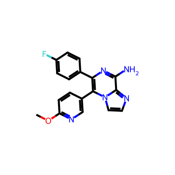 COc1ccc(-c2c(-c3ccc(F)cc3)nc(N)c3nccn23)cn1